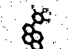 Fc1cc(-c2ccc3ccc4cccc5ccc2c3c45)cc(F)c1C(F)(F)F